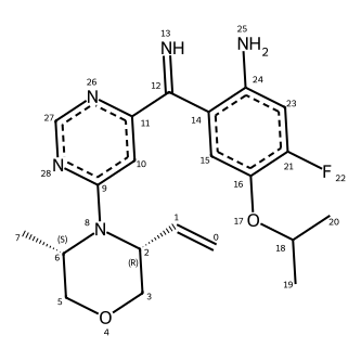 C=C[C@@H]1COC[C@H](C)N1c1cc(C(=N)c2cc(OC(C)C)c(F)cc2N)ncn1